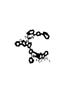 CC1(C)c2ccccc2-c2cc3c4cc(-c5ccc6c(c5)c5cc7c(cc5n6-c5nc(-c6ccc(-c8ccccc8)cc6)c6ccccc6n5)oc5ccccc57)ccc4n(-c4ccccc4)c3cc21